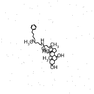 C[C@H](CCC(=O)NCCCN(C)CCCCc1ccccc1)C1CCC2C3C(C[C@H](O)[C@@]21C)[C@@]1(C)CC[C@@H](O)CC1C[C@H]3O